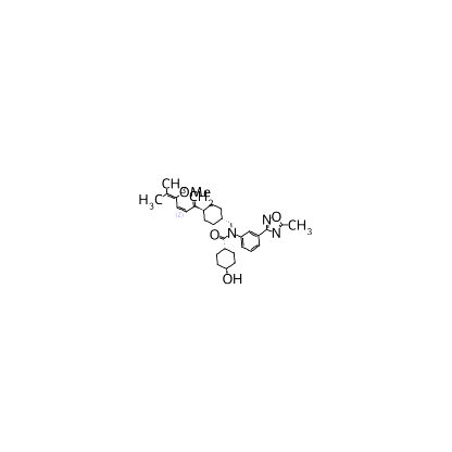 C=C(/C=C\C(OC)=C(C)C)[C@H]1CC[C@H](CN(c2cccc(-c3noc(C)n3)c2)C(=O)[C@H]2CC[C@H](O)CC2)CC1